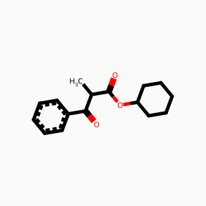 CC(C(=O)OC1CCCCC1)C(=O)c1ccccc1